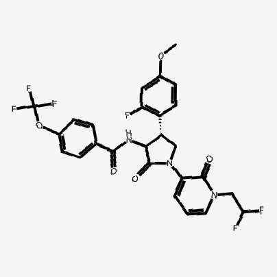 COc1ccc([C@@H]2CN(c3cccn(CC(F)F)c3=O)C(=O)C2NC(=O)c2ccc(OC(F)(F)F)cc2)c(F)c1